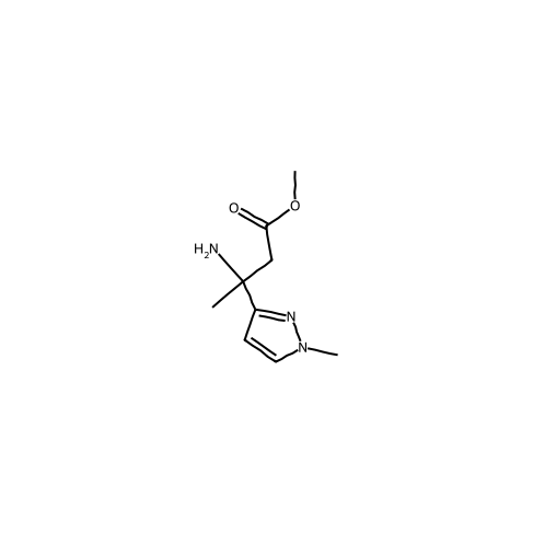 COC(=O)CC(C)(N)c1ccn(C)n1